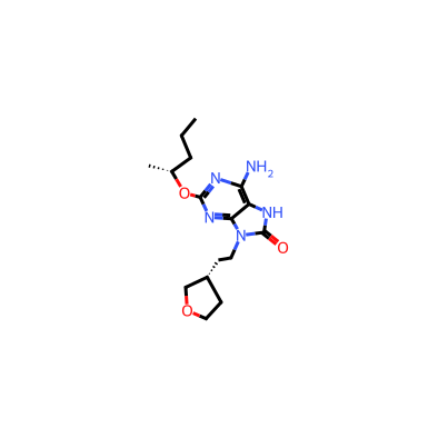 CCC[C@@H](C)Oc1nc(N)c2[nH]c(=O)n(CC[C@@H]3CCOC3)c2n1